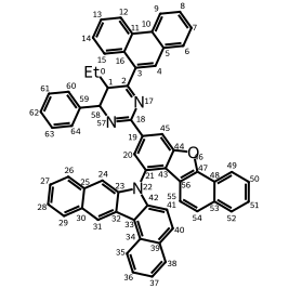 CCC1C(c2cc3ccccc3c3ccccc23)=NC(c2cc(-n3c4cc5ccccc5cc4c4c5ccccc5ccc43)c3c(c2)oc2c4ccccc4ccc23)=NC1c1ccccc1